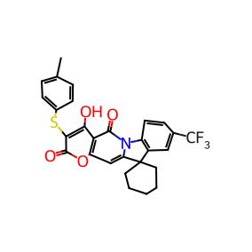 Cc1ccc(Sc2c(O)c3c(=O)n4c(cc3oc2=O)C2(CCCCC2)c2cc(C(F)(F)F)ccc2-4)cc1